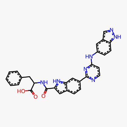 O=C(NC(Cc1ccccc1)C(=O)O)c1cc2ccc(-c3nccc(Nc4ccc5[nH]ncc5c4)n3)cc2[nH]1